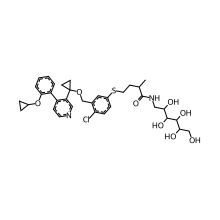 CC(CCSc1ccc(Cl)c(COC2(c3cnccc3-c3ccccc3OC3CC3)CC2)c1)C(=O)NCC(O)C(O)C(O)C(O)CO